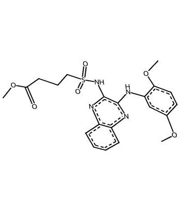 COC(=O)CCCS(=O)(=O)Nc1nc2ccccc2nc1Nc1cc(OC)ccc1OC